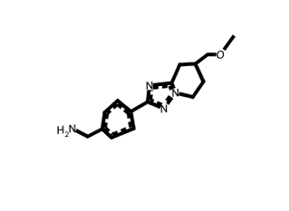 COCC1CCn2nc(-c3ccc(CN)cc3)nc2C1